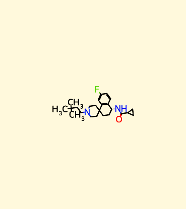 CC(C)(C)CCN1CCC2(CC[C@@H](NC(=O)C3CC3)c3ccc(F)cc32)CC1